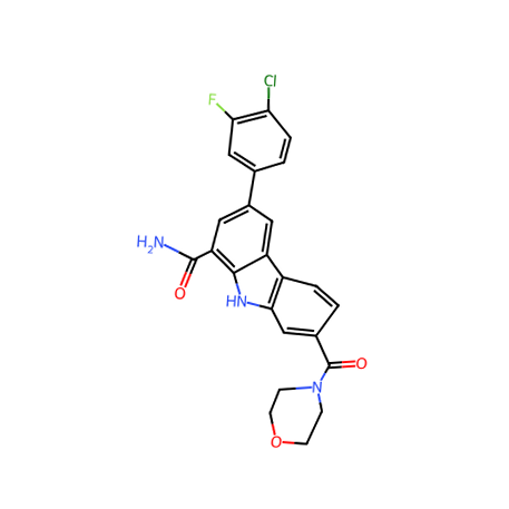 NC(=O)c1cc(-c2ccc(Cl)c(F)c2)cc2c1[nH]c1cc(C(=O)N3CCOCC3)ccc12